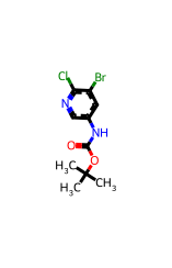 CC(C)(C)OC(=O)Nc1cnc(Cl)c(Br)c1